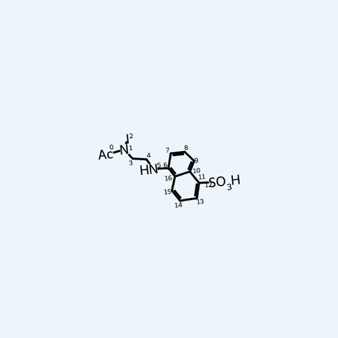 CC(=O)N(I)CCNc1cccc2c(S(=O)(=O)O)cccc12